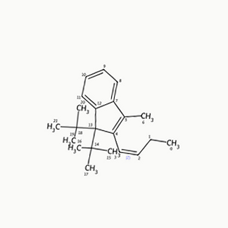 CC/C=C\C1=C(C)c2ccccc2C1(C(C)(C)C)C(C)(C)C